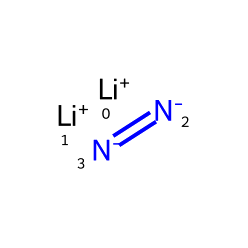 [Li+].[Li+].[N-]=[N-]